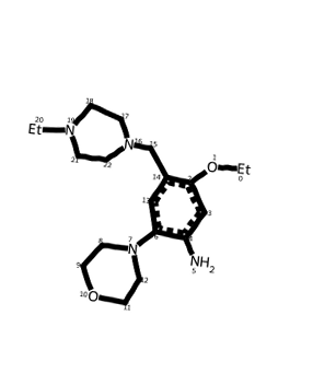 CCOc1cc(N)c(N2CCOCC2)cc1CN1CCN(CC)CC1